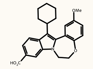 COc1ccc2c(c1)-c1c(C3CCCCC3)c3ccc(C(=O)O)cc3n1CCO2